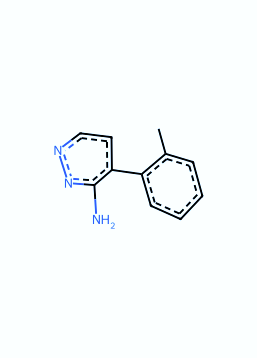 Cc1ccccc1-c1ccnnc1N